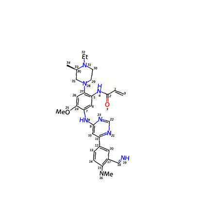 C=CC(=O)Nc1cc(Nc2cc(-c3ccc(NC)c(C=N)c3)ncn2)c(OC)cc1N1CCN(CC)[C@H](C)C1